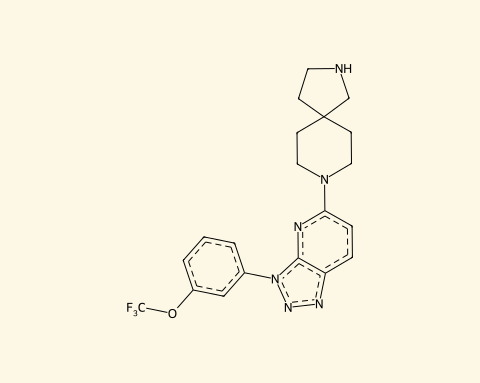 FC(F)(F)Oc1cccc(-n2nnc3ccc(N4CCC5(CCNC5)CC4)nc32)c1